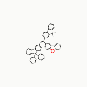 CC1(C)c2ccccc2-c2ccc(/C(=C/c3ccc4c(c3)-c3ccccc3C4(c3ccccc3)c3ccccc3)c3ccc4oc5ccccc5c4c3)cc21